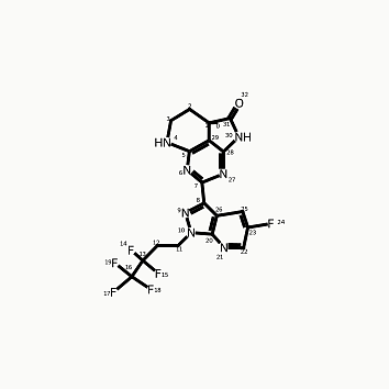 CC12CCNc3nc(-c4nn(CCC(F)(F)C(F)(F)F)c5ncc(F)cc45)nc(c31)NC2=O